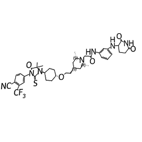 C[C@@H]1C[C@@H](CCO[C@H]2CC[C@H](N3C(=S)N(c4ccc(C#N)c(C(F)(F)F)c4)C(=O)C3(C)C)CC2)C[C@H](C)N1CC(=O)Nc1cccc(NC2CCC(=O)NC2=O)c1